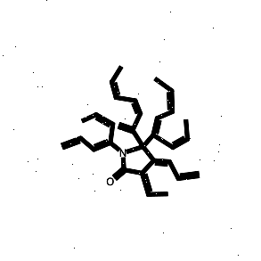 C=C/C=C(\C=C/C)N1C(=O)C(=C/C)/C(=C\C=C)C1(C(=C)/C=C\C=C/C)C(/C=C\C)=C/C=C\C